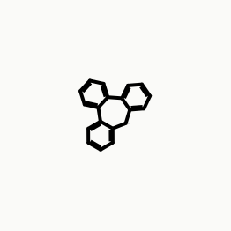 [CH]1c2ccccc2-c2ccccc2-c2ccccc21